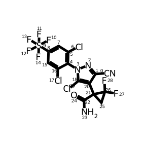 N#Cc1nn(-c2c(Cl)cc(S(F)(F)(F)(F)F)cc2Cl)c(Cl)c1C1(C(N)=O)CC1(F)F